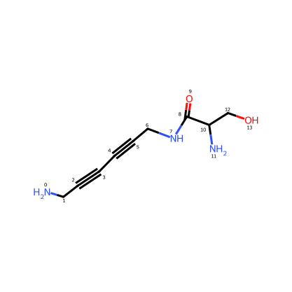 NCC#CC#CCNC(=O)C(N)CO